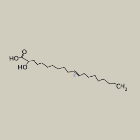 CCCCCCCC/C=C/CCCCCCCCC(O)C(=O)O